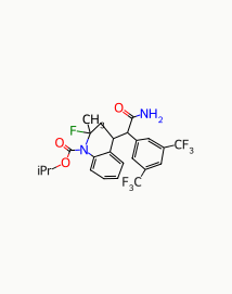 CC(C)OC(=O)N1c2ccccc2C(C(C(N)=O)c2cc(C(F)(F)F)cc(C(F)(F)F)c2)CC1(C)F